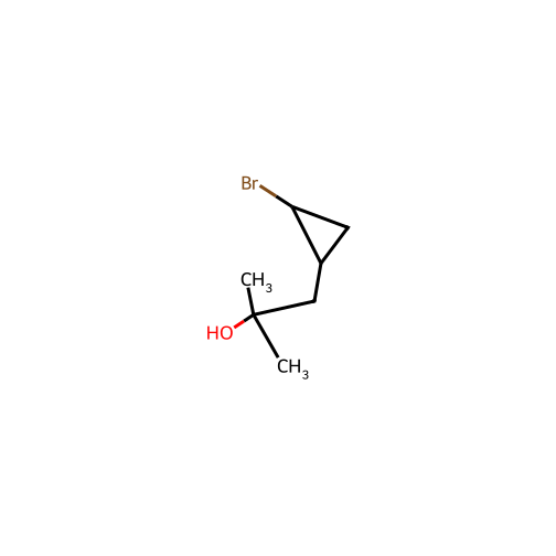 CC(C)(O)CC1CC1Br